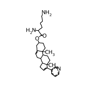 CC12CCC(OC(=O)C(N)CCCCN)CC1=CCC1C2CCC2(C)C(c3cccnc3)=CCC12